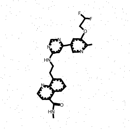 CNC(=O)c1ccnc2c(CCNc3cc(-c4cnc(C)c(OCC(F)F)c4)ncn3)cccc12